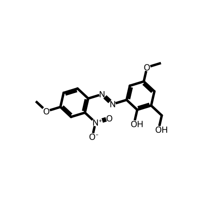 COc1cc(CO)c(O)c(N=Nc2ccc(OC)cc2[N+](=O)[O-])c1